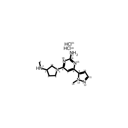 CNC1CCN(c2cc(-c3ccnn3C)nc(N)n2)C1.Cl.Cl